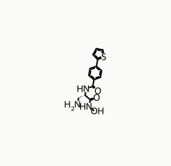 NC[C@H](NC(=O)c1ccc(-c2cccs2)cc1)C(=O)NO